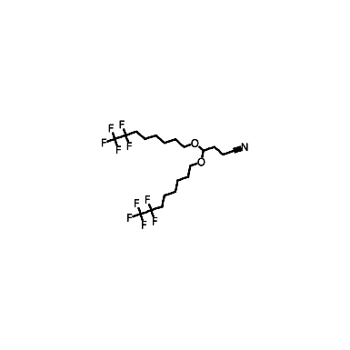 N#CCCC(OCCCCCCC(F)(F)C(F)(F)F)OCCCCCCC(F)(F)C(F)(F)F